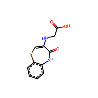 O=C(O)CNC1=CSc2ccccc2NC1=O